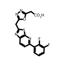 O=C(O)Cc1nnc(Cc2nc3ccc(-c4cccc(F)c4F)nc3s2)o1